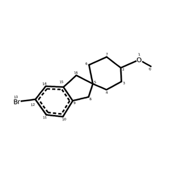 COC1CCC2(CC1)Cc1ccc(Br)cc1C2